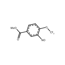 COC(=O)c1ccc(OC(F)(F)F)c(N=O)c1